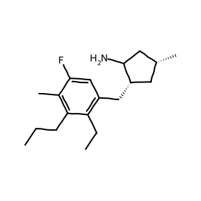 CCCc1c(C)c(F)cc(C[C@H]2C[C@@H](C)CC2N)c1CC